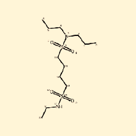 CCCN(CCC)S(=O)(=O)CC[CH]CS(=O)(=O)NCC